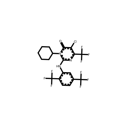 O=c1c(Cl)c(C(F)(F)F)nc(Nc2cc(C(F)(F)F)ccc2C(F)(F)F)n1C1CCCCC1